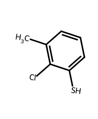 Cc1cccc(S)c1Cl